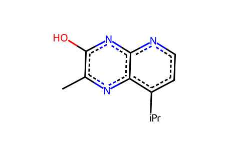 Cc1nc2c(C(C)C)ccnc2nc1O